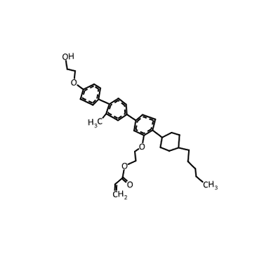 C=CC(=O)OCCOc1cc(-c2ccc(-c3ccc(OCCO)cc3)c(C)c2)ccc1C1CCC(CCCCC)CC1